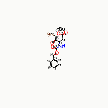 CC(C)(C)OC(=O)CC(NC(=O)OCc1ccccc1)C(=O)CBr